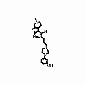 CN1CCc2c(sc3c2C([N])N(CCCN2CCN(c4cccc(O)c4)CC2)C=N3)C1